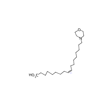 O=C(O)CCCCCCC/C=C\CCCCCCCCN1CCOCC1